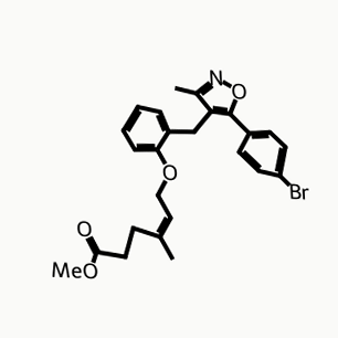 COC(=O)CCC(C)=CCOc1ccccc1Cc1c(C)noc1-c1ccc(Br)cc1